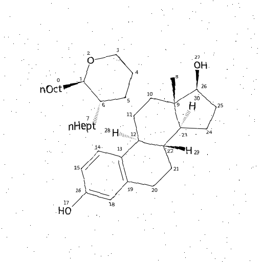 CCCCCCCC[C@H]1OCCC[C@@H]1CCCCCCC.C[C@]12CC[C@@H]3c4ccc(O)cc4CC[C@H]3[C@@H]1CC[C@@H]2O